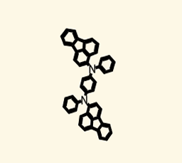 c1ccc(N(c2ccc(N(c3ccccc3)c3ccc4c5c(cccc35)-c3ccccc3-4)cc2)c2ccc3c4c(cccc24)-c2ccccc2-3)cc1